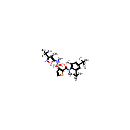 [2H]N(C(=O)c1sccc1S(=O)(=O)N([2H])c1onc(C([2H])([2H])[2H])c1C)c1c(C(C)=O)cc(C([2H])([2H])[2H])cc1C([2H])([2H])[2H]